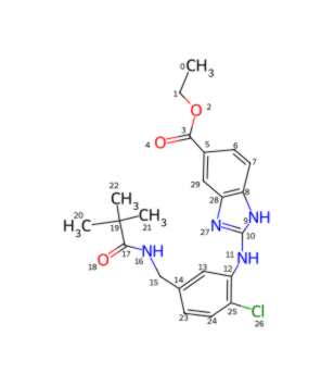 CCOC(=O)c1ccc2[nH]c(Nc3cc(CNC(=O)C(C)(C)C)ccc3Cl)nc2c1